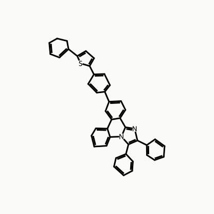 C1=CCCC(c2ccc(-c3ccc(-c4ccc5c(c4)c4ccccc4n4c(-c6ccccc6)c(-c6ccccc6)nc54)cc3)s2)=C1